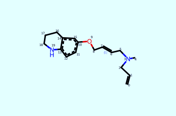 C=CCN(C)C/C=C/COc1ccc2c(c1)CCCN2